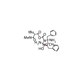 CNC(=O)C(C(=O)OC(=O)N(C(N)C(O)CCc1ccccc1)C(N)(Cc1ccccc1)C(C)O)C(C)(C)C